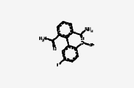 CC(C)Oc1ccc(F)cc1-c1c(C(N)=O)cccc1C(N)=O